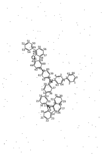 c1ccc(-c2ccc(N(c3ccc(-c4cccc(-n5c6ccccc6c6ccc7ccccc7c65)c4)cc3)c3ccc(-c4ccc5oc6c(-c7ccccc7)cccc6c5c4)cc3)cc2)cc1